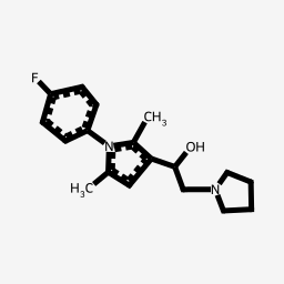 Cc1cc(C(O)CN2CCCC2)c(C)n1-c1ccc(F)cc1